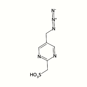 [N-]=[N+]=NCc1cnc(CS(=O)(=O)O)nc1